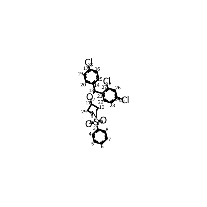 O=S(=O)(c1ccccc1)N1CC(OC(c2ccc(Cl)cc2)c2ccc(Cl)cc2Cl)C1